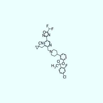 C[C@]1(c2ccc(Cl)cc2F)Oc2cccc(C3CCN(Cc4ncc(-c5noc(C(F)F)n5)cc4CC4(C#N)CC4)CC3)c2O1